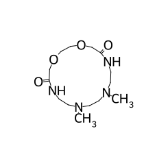 CN1CCNC(=O)COCCOCC(=O)NCCN(C)CC1